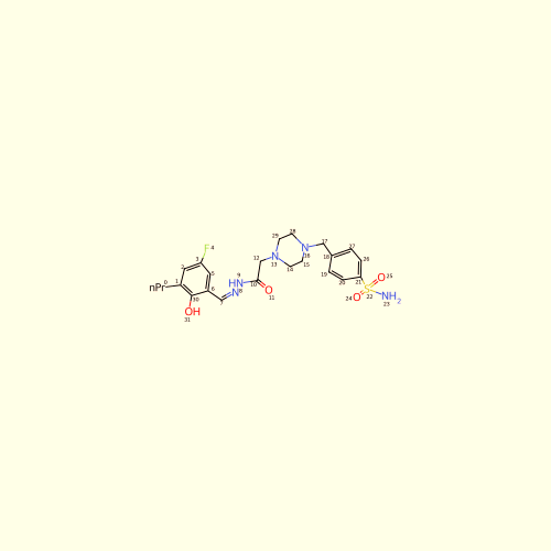 CCCc1cc(F)cc(/C=N\NC(=O)CN2CCN(Cc3ccc(S(N)(=O)=O)cc3)CC2)c1O